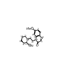 COc1ccc2ncc(=O)n(CCN3CC[CH]CC3C(C)(C)C)c2c1